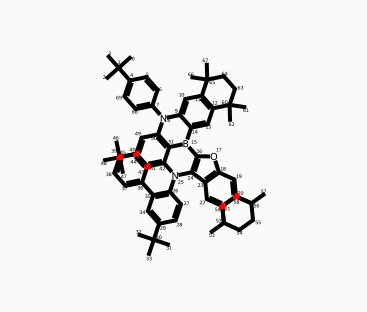 CC(C)(C)c1ccc(N2c3cc4c(cc3B3c5oc6cc7c(cc6c5N(c5ccc(C(C)(C)C)cc5-c5ccccc5)c5cc(C(C)(C)C)cc2c53)C2(C)CCC7(C)CC2)C(C)(C)CCC4(C)C)cc1